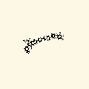 CC(C)Oc1cc2nc(C3CCN(C(=O)CN4CCN(c5ccc(OC6CCC(=O)NC6=O)cc5)CC4)CC3)cn2cc1NC(=O)c1cccc(C(F)(F)F)n1